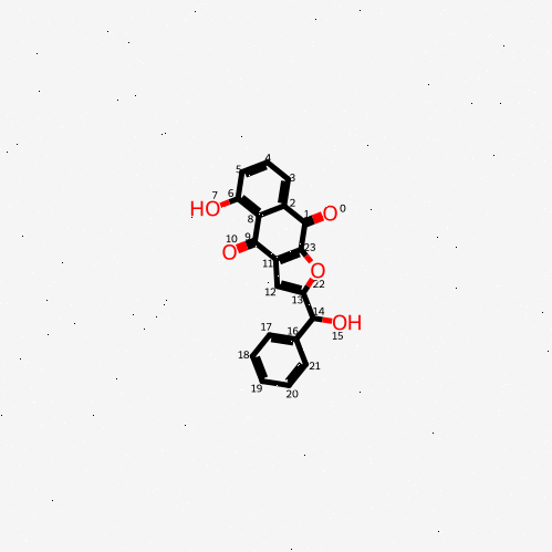 O=C1c2cccc(O)c2C(=O)c2cc(C(O)c3ccccc3)oc21